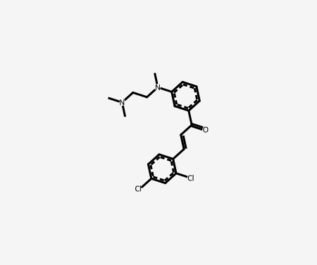 CN(C)CCN(C)c1cccc(C(=O)C=Cc2ccc(Cl)cc2Cl)c1